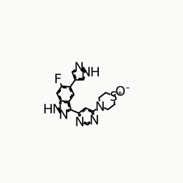 [O-][S+]1CCN(c2cc(-c3n[nH]c4cc(F)c(-c5cn[nH]c5)cc34)ncn2)CC1